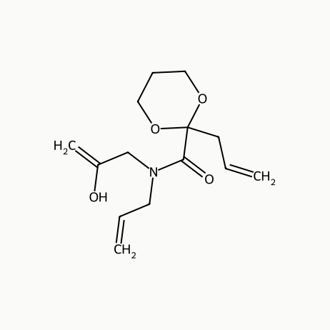 C=CCN(CC(=C)O)C(=O)C1(CC=C)OCCCO1